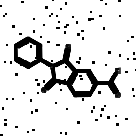 O=C(Cl)c1ccc2c(c1)C(=O)N(c1ccccc1)C2=O